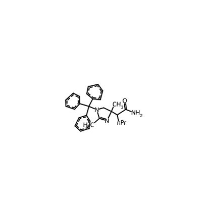 CCCC(C(N)=O)C1(C)CN(C(c2ccccc2)(c2ccccc2)c2ccccc2)C(C)=N1